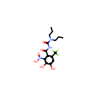 CCCN(CCC)C(=O)NC(=O)c1c(C(F)(F)F)cc(O)c(O)c1[N+](=O)O